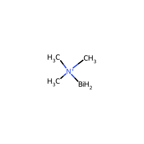 C[N+](C)(C)[BiH2]